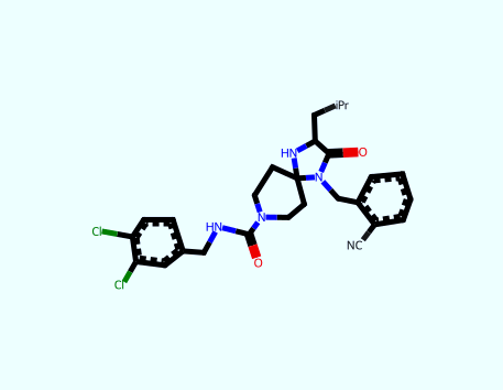 CC(C)CC1NC2(CCN(C(=O)NCc3ccc(Cl)c(Cl)c3)CC2)N(Cc2ccccc2C#N)C1=O